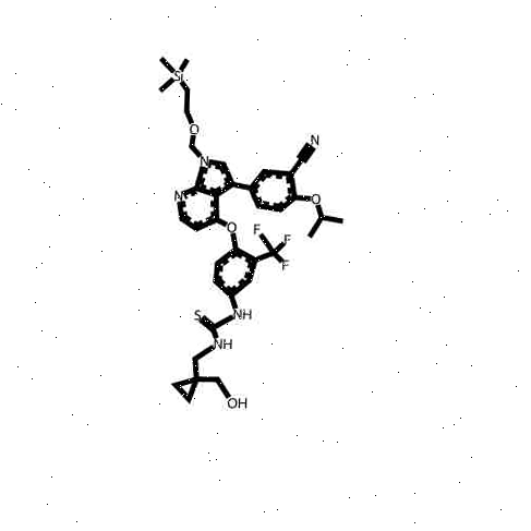 CC(C)Oc1ccc(-c2cn(COCC[Si](C)(C)C)c3nccc(Oc4ccc(NC(=S)NCC5(CO)CC5)cc4C(F)(F)F)c23)cc1C#N